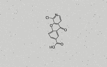 O=C(O)c1ccc2oc3c(Cl)nccc3c(=O)c2c1